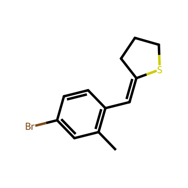 Cc1cc(Br)ccc1C=C1CCCS1